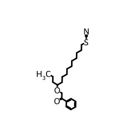 CCCC(CCCCCCCCCCSC#N)OCC(=O)c1ccccc1